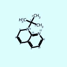 CC(C)(C)N1CC=Cc2cccnc21